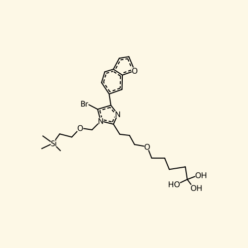 C[Si](C)(C)CCOCn1c(CCCOCCCCC(O)(O)O)nc(-c2ccc3ccoc3c2)c1Br